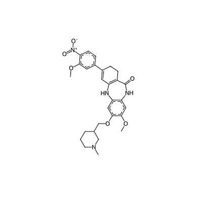 COc1cc2c(cc1OCC1CCCN(C)C1)NC1=C(CCC(c3ccc([N+](=O)[O-])c(OC)c3)=C1)C(=O)N2